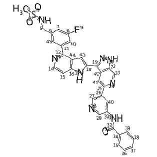 CS(=O)(=O)NCc1cc(F)cc(-c2nccc3[nH]c(-c4n[nH]c5cnc(-c6cncc(NC(=O)c7ccccc7)c6)cc45)cc23)c1